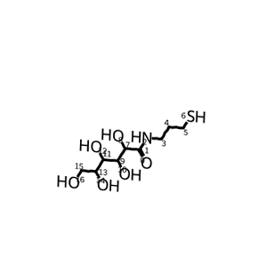 O=C(NCCCS)C(O)C(O)C(O)C(O)CO